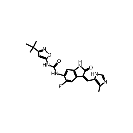 Cc1nc[nH]c1/C=C1\C(=O)Nc2cc(NC(=O)Nc3cc(C(C)(C)C)no3)c(F)cc21